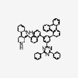 C1=CC2=C3C=CNCC3=C(c3cccc4c(-c5cc(-c6nc(-c7ccccc7)nc(-c7ccccc7)n6)cc(-c6cccc7c8ccccc8c8ccccc8c67)c5)cccc34)NC2C=C1